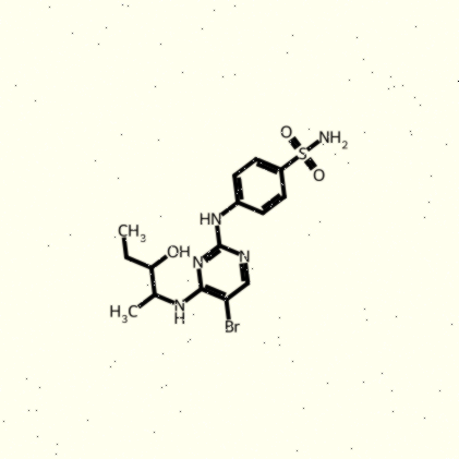 CCC(O)C(C)Nc1nc(Nc2ccc(S(N)(=O)=O)cc2)ncc1Br